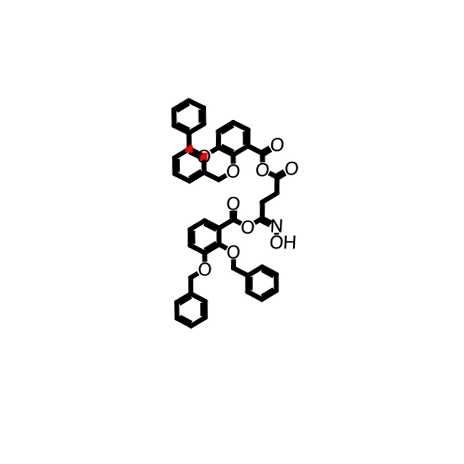 O=C(CC/C(=N/O)OC(=O)c1cccc(OCc2ccccc2)c1OCc1ccccc1)OC(=O)c1cccc(OCc2ccccc2)c1OCc1ccccc1